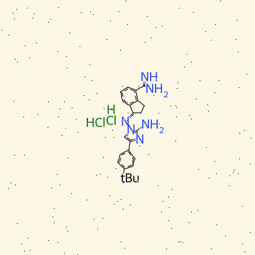 CC(C)(C)c1ccc(-c2cn(N=C3CCc4c(C(=N)N)cccc43)c(N)n2)cc1.Cl.Cl